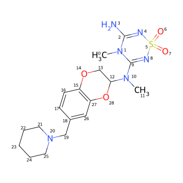 CN1C(N)=NS(=O)(=O)N=C1N(C)C1COc2ccc(CN3CCCCC3)cc2O1